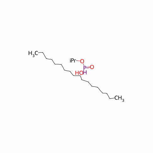 CC(C)O[PH](=O)O.CCCCCCCCCCCCCCCCCC